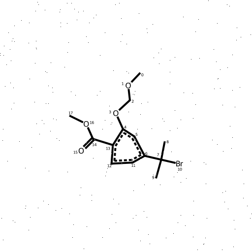 COCOc1cc(C(C)(C)Br)ccc1C(=O)OC